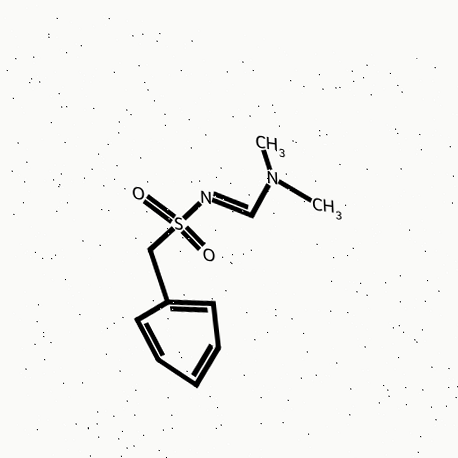 CN(C)C=NS(=O)(=O)Cc1ccccc1